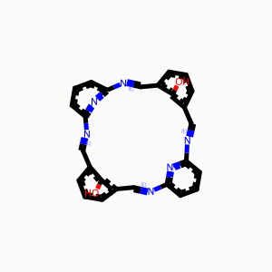 Oc1c2cccc1/C=N/c1cccc(n1)/N=C/c1cccc(c1O)/C=N/c1cccc(n1)/N=C/2